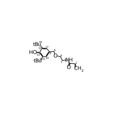 C=CC(=O)NCCOCc1cc(C(C)(C)C)c(O)c(C(C)(C)C)c1